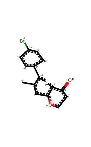 Cc1cc2occc(=O)c2cc1-c1ccc(Br)cc1